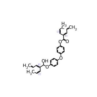 C=C/C=C(\C=C/C)C(=O)Oc1ccc(Oc2ccc(OC(O)C(/C=C\C)=C/C=C)cc2)cc1